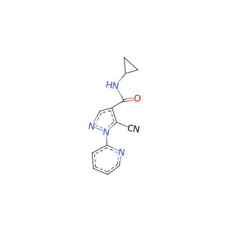 N#Cc1c(C(=O)NC2CC2)cnn1-c1ccccn1